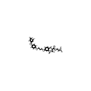 COc1cc(OCCCOc2ccc(Oc3ccccc3)cc2)ccc1C[C@H](OC)C(=O)OCCN(C)C